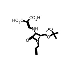 C=CCN1C(=O)[C@@H](NC=C(C(=O)O)C(=O)O)[C@H]1[C@@H]1COC(C)(C)O1